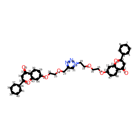 O=c1cc(-c2ccccc2)oc2cc(OCCOCCn3cc(COCCOc4ccc5c(=O)cc(-c6ccccc6)oc5c4)nn3)ccc12